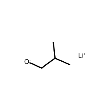 CC(C)C[O-].[Li+]